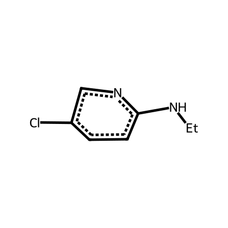 [CH2]CNc1ccc(Cl)cn1